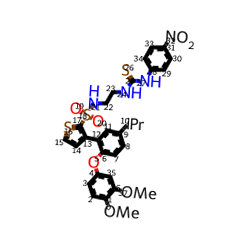 COc1ccc(Oc2ccc(C(C)C)cc2-c2ccsc2S(=O)(=O)NCCNC(=S)Nc2ccc([N+](=O)[O-])cc2)cc1OC